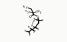 CCC(C)(C)C(=O)OC(F)(F)CC(F)(F)C(F)(F)C(F)F